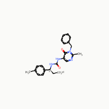 Cc1ccc([C@H](CC(=O)O)NC(=O)Nc2cnc(C)n(Cc3ccccc3)c2=O)cc1